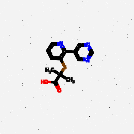 CC(C)(Sc1cccnc1-c1cncnc1)C(=O)O